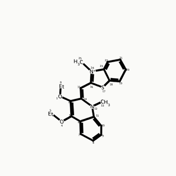 CCOC1=C(OCC)c2ccccc2N(C)C1=Cc1sc2ccccc2[n+]1C